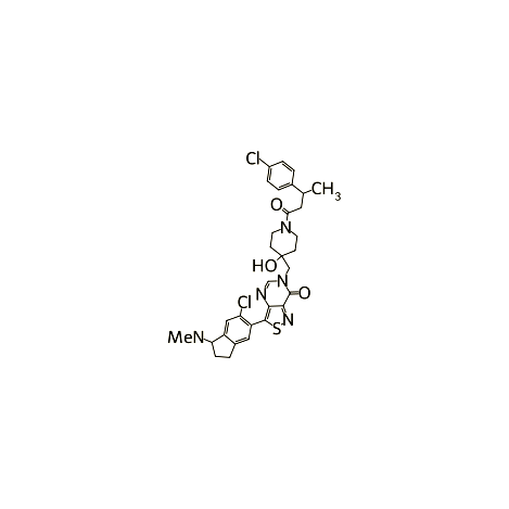 CNC1CCc2cc(-c3snc4c(=O)n(CC5(O)CCN(C(=O)CC(C)c6ccc(Cl)cc6)CC5)cnc34)c(Cl)cc21